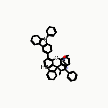 C/C=C\C=C(\c1ccccc1)C(C)C1(C2=C(O)C=CCC2)c2ccccc2Oc2c(-c3ccc4c(c3)c3c(n4C4=CC=CCC4)CCC=C3)cccc21